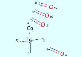 C[Si](C)(C)[Co].[C]=O.[C]=O.[C]=O.[C]=O